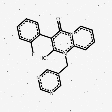 O=c1c(-c2ccccc2F)c(O)n(Cc2cncnc2)c2cccc[n+]12